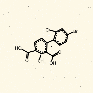 Cc1c(C(=O)O)ccc(-c2ccc(Br)cc2Cl)c1C(=O)O